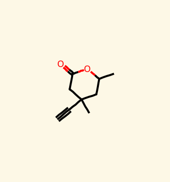 C#CC1(C)CC(=O)OC(C)C1